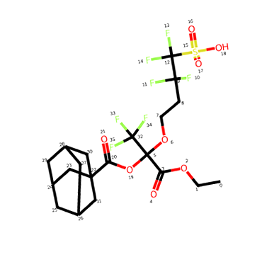 CCOC(=O)C(OCCC(F)(F)C(F)(F)S(=O)(=O)O)(OC(=O)C12CC3CC(CC(C3)C1)C2)C(F)(F)F